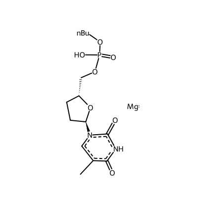 CCCCOP(=O)(O)OC[C@H]1CC[C@H](n2cc(C)c(=O)[nH]c2=O)O1.[Mg]